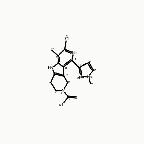 C=C(CC)N1CCc2[nH]c3c(C)c(Cl)nc(-c4ccn(C)n4)c3c2C1